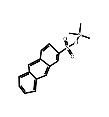 C[Si](C)(C)OS(=O)(=O)c1ccc2cc3ccccc3cc2c1